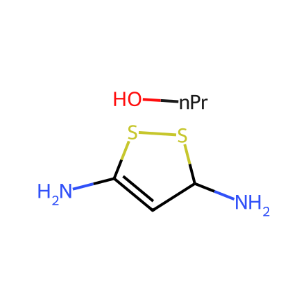 CCCO.NC1=CC(N)SS1